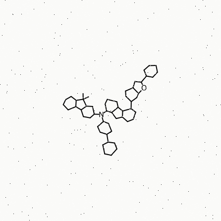 CC1(C)C2CCCCC2C2CCC(N(C3CCC(C4CCCCC4)CC3)C3CCCC4C3CC3CCCC(C5CCC6CC(C7CCCCC7)OC6C5)C34)CC21